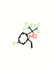 C=Cc1cc(F)ccc1C(O)(C(F)(F)F)C(F)(F)F